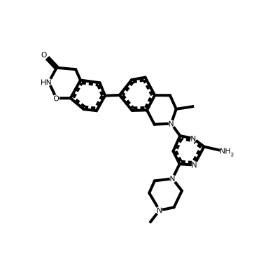 CC1Cc2ccc(-c3ccc4c(c3)CC(=O)NO4)cc2CN1c1cc(N2CCN(C)CC2)nc(N)n1